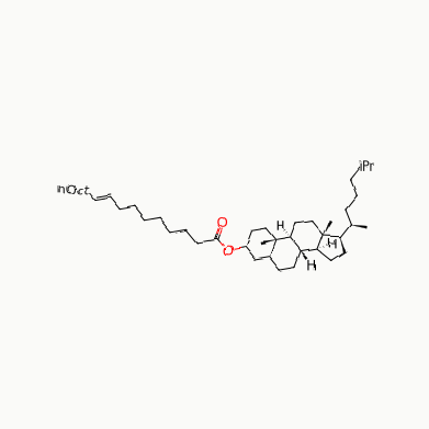 CCCCCCCCC=CCCCCCCCC(=O)OC1CC[C@@]2(C)C(CC[C@H]3[C@@H]4CC[C@H]([C@H](C)CCCC(C)C)[C@@]4(C)CC[C@@H]32)C1